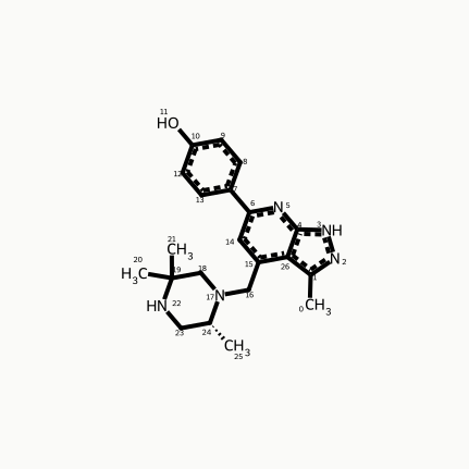 Cc1n[nH]c2nc(-c3ccc(O)cc3)cc(CN3CC(C)(C)NC[C@H]3C)c12